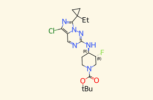 CCC1(c2nc(Cl)c3cnc(N[C@@H]4CCN(C(=O)OC(C)(C)C)C[C@H]4F)nn23)CC1